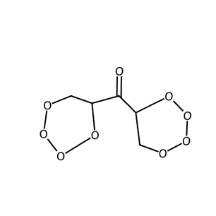 O=C(C1COOOO1)C1COOOO1